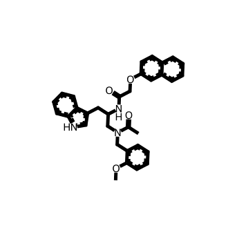 COc1ccccc1CN(CC(Cc1c[nH]c2ccccc12)NC(=O)COc1ccc2ccccc2c1)C(C)=O